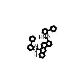 c1ccc(-c2cccc3[nH]c(-c4cccc5c4ccc4c(-c6nc7c(-c8ccccc8)cccc7[nH]6)c6ccccc6cc45)nc23)cc1